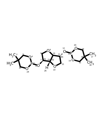 CC1(C)COP(O[C@H]2COC3[C@H](OP4OCC(C)(C)CO4)CO[C@@H]32)OC1